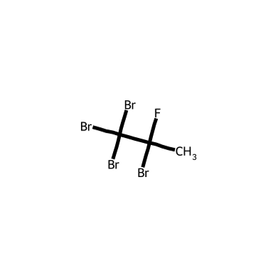 CC(F)(Br)C(Br)(Br)Br